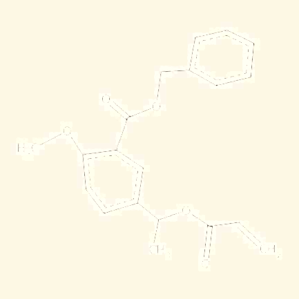 C=CC(=O)OC(C)c1ccc(OC)c(C(=O)OCc2ccccc2)c1